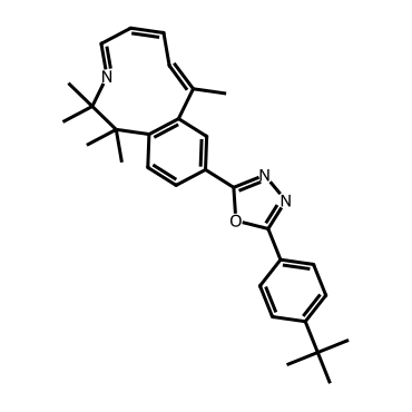 C\C1=C/C=C\C=N\C(C)(C)C(C)(C)c2ccc(-c3nnc(-c4ccc(C(C)(C)C)cc4)o3)cc21